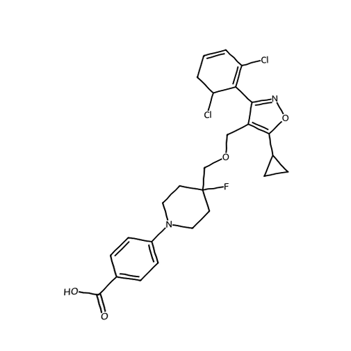 O=C(O)c1ccc(N2CCC(F)(COCc3c(C4=C(Cl)C=CCC4Cl)noc3C3CC3)CC2)cc1